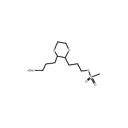 CCCCCCCCCCCCCC1OCCOC1CCCOS(C)(=O)=O